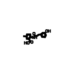 Cc1ccc(NC(=O)CCc2cccc(O)c2)c(C(=O)O)c1